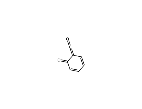 O=C=C1[C]=CC=CC1=O